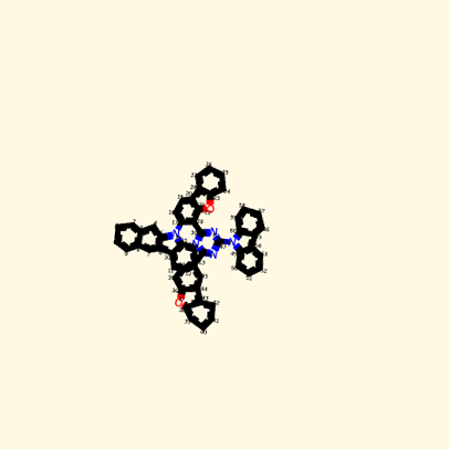 c1ccc2cc3c(cc2c1)c1ccccc1n3-c1ccc2c(oc3ccccc32)c1-c1nc(-c2ccc3oc4ccccc4c3c2)nc(-n2c3ccccc3c3ccccc32)n1